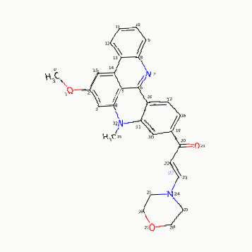 COc1cc2c3c(nc4ccccc4c3c1)-c1ccc(C(=O)/C=C/N3CCOCC3)cc1N2C